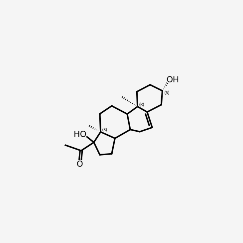 CC(=O)C1(O)CCC2C3CC=C4C[C@@H](O)CC[C@]4(C)C3CC[C@@]21C